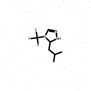 CC(C)CC1NN=CN1C(F)(F)F